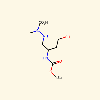 CN(NCC(CCO)NC(=O)OC(C)(C)C)C(=O)O